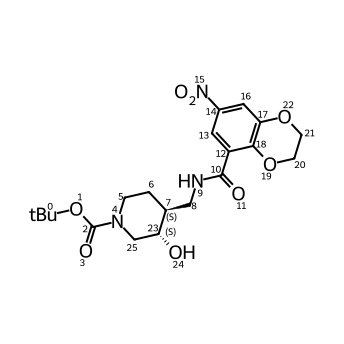 CC(C)(C)OC(=O)N1CC[C@@H](CNC(=O)c2cc([N+](=O)[O-])cc3c2OCCO3)[C@H](O)C1